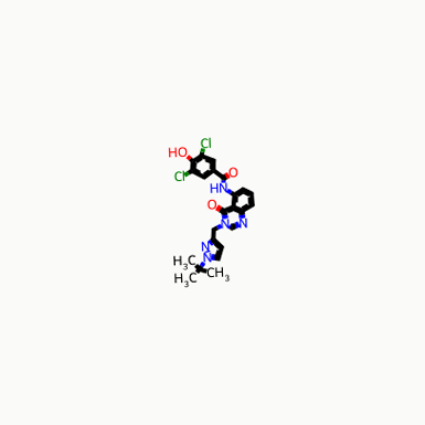 CC(C)(C)n1ccc(Cn2cnc3cccc(NC(=O)c4cc(Cl)c(O)c(Cl)c4)c3c2=O)n1